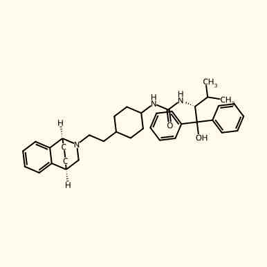 CC(C)[C@@H](NC(=O)NC1CCC(CCN2C[C@@H]3CC[C@H]2c2ccccc23)CC1)C(O)(c1ccccc1)c1ccccc1